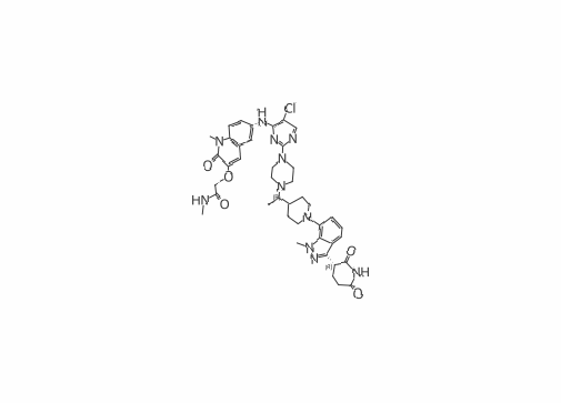 CNC(=O)COc1cc2cc(Nc3nc(N4CCN([C@H](C)C5CCN(c6cccc7c([C@H]8CCC(=O)NC8=O)nn(C)c67)CC5)CC4)ncc3Cl)ccc2n(C)c1=O